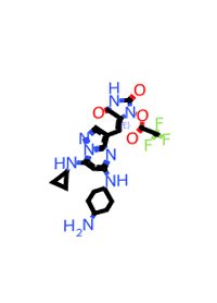 NC1CCC(Nc2cc(NC3CC3)n3ncc(/C=C4\C(=O)NC(=O)N4OC(=O)C(F)(F)F)c3n2)CC1